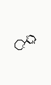 C1=CSC(C2CCCCCCC2)=CN=C1